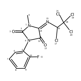 CN1C(=O)N(c2ccccc2F)C(=O)/C1=N\C(Cl)C(Cl)(Cl)Cl